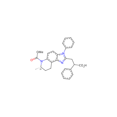 COC(=O)N1c2ccc3c(nc(CC(C(=O)O)c4ccccc4)n3-c3ccccc3)c2CC[C@@H]1C